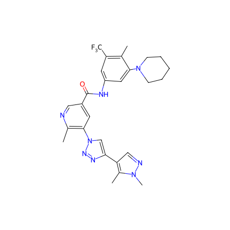 Cc1ncc(C(=O)Nc2cc(N3CCCCC3)c(C)c(C(F)(F)F)c2)cc1-n1cc(-c2cnn(C)c2C)nn1